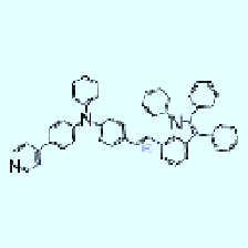 C(=C\c1cccc2c(-c3ccccc3)c(-c3ccccc3)n(-c3ccccc3)c12)/c1ccc(N(c2ccccc2)c2ccc(-c3ccncc3)cc2)cc1